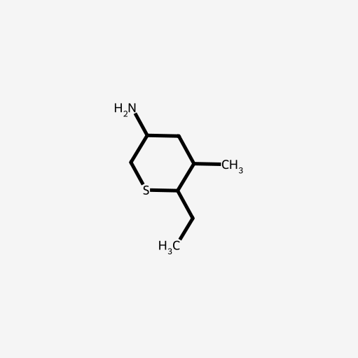 CCC1SCC(N)CC1C